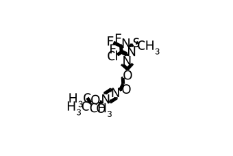 CSc1nc(N2CC(OCC3OC3N3CCN(C(=O)OC(C)(C)C)CC3)C2)c(Cl)c(C(F)(F)F)n1